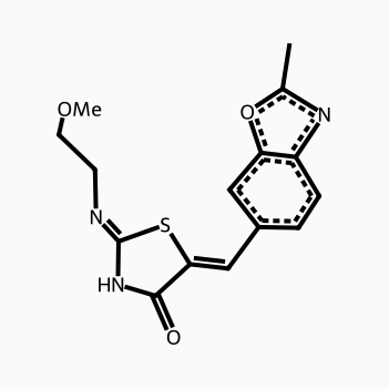 COCCN=C1NC(=O)C(=Cc2ccc3nc(C)oc3c2)S1